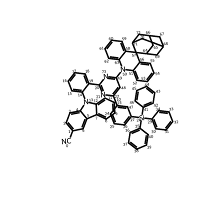 N#Cc1ccc2c(c1)c1ccccc1n2-c1ccccc1-c1nc(-c2cccc([Si](c3ccccc3)(c3ccccc3)c3ccccc3)c2)cc(N2c3ccccc3C3(c4ccccc42)C2CC4CC(C2)CC3C4)n1